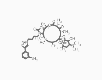 CC[C@H]1OC(=O)[C@H](C)C(=O)[C@@H](C)[C@@H](O[C@@H]2OC(C)CC(N(C)C)C2O)[C@](C)(OC)C[C@@H](C)CN(C(C)=O)[C@H](C)[C@H]2N(CCCCn3cc(-c4cccc(N)c4)nn3)C(=O)O[C@]12C